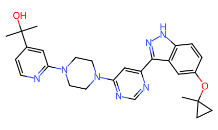 CC1(Oc2ccc3[nH]nc(-c4cc(N5CCN(c6cc(C(C)(C)O)ccn6)CC5)ncn4)c3c2)CC1